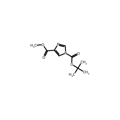 COC(=O)c1cn(C(=O)OC(C)(C)C)cn1